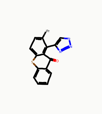 CC(C)c1ccc2sc3ccccc3c(=O)c2c1C1=C[N]N=N1